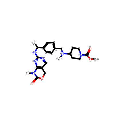 CCN1C(=O)OCc2cnc(NC(C)c3ccc(CN(C)C4CCN(C(=O)OC(C)(C)C)CC4)cc3)nc21